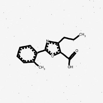 CCCc1nc(-c2ccccc2C)oc1C(=O)O